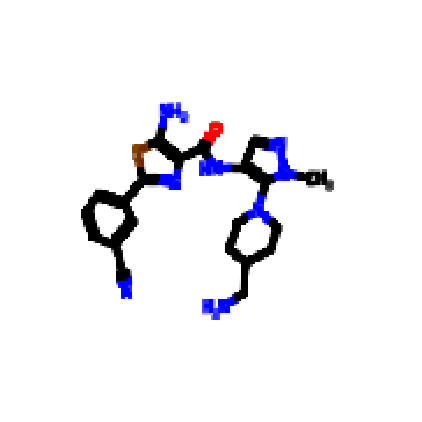 Cn1ncc(NC(=O)c2nc(-c3cccc(C#N)c3)sc2N)c1N1CCC(CN)CC1